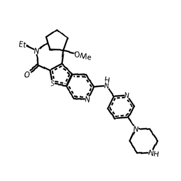 CCN(C)C(=O)c1sc2cnc(Nc3ccc(N4CCNCC4)cn3)cc2c1C1(OC)CCCC1